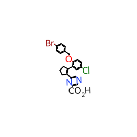 O=C(O)c1cncc(C2=C(c3cc(Cl)ccc3OCc3ccc(Br)cc3)CCC2)n1